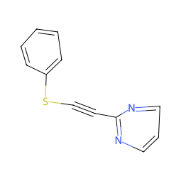 C(#Cc1ncccn1)Sc1ccccc1